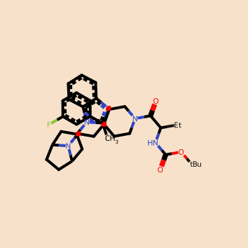 CCC(NC(=O)OC(C)(C)C)C(=O)N1CCC(CCN2C3CCC2CC(n2c(C)nc4ccccc42)C3)(c2cccc(F)c2)CC1